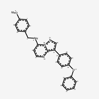 COc1ccc(CNc2ccnc3c(-c4ccc(Oc5ccccc5)cc4)cnn23)cc1